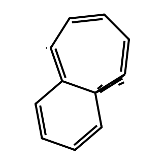 [C]1=C2C=CC=CC23C=CC=CC3=CC=C1